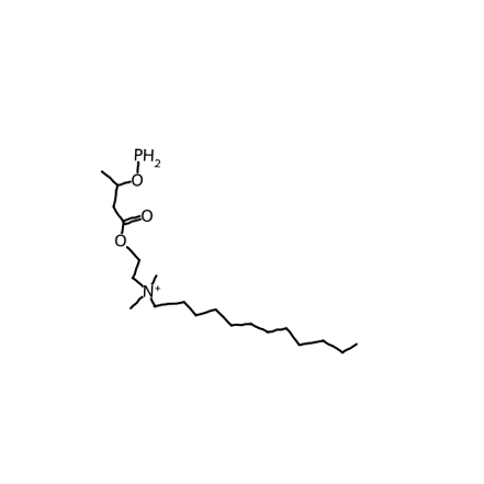 CCCCCCCCCCCC[N+](C)(C)CCOC(=O)CC(C)OP